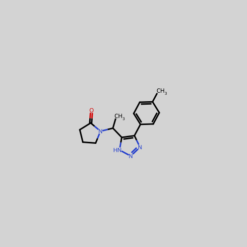 Cc1ccc(-c2nn[nH]c2C(C)N2CCCC2=O)cc1